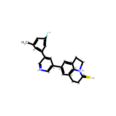 Cc1cc(F)cc(-c2cncc(-c3cc4c5c(c3)CCN5C(=S)CC4)c2)c1